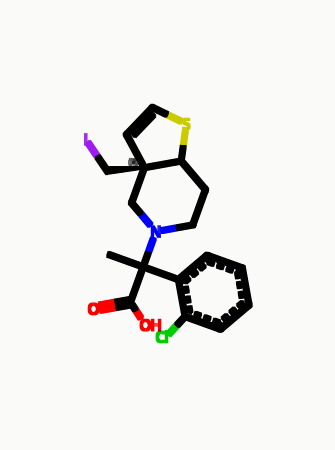 CC(C(=O)O)(c1ccccc1Cl)N1CCC2SC=C[C@@]2(CI)C1